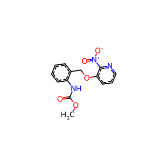 COC(=O)Nc1ccccc1COc1cccnc1[N+](=O)[O-]